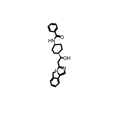 O=C(N[C@H]1CC[C@H](C(O)Cc2ncc3n2Cc2ccccc2-3)CC1)c1ccccc1